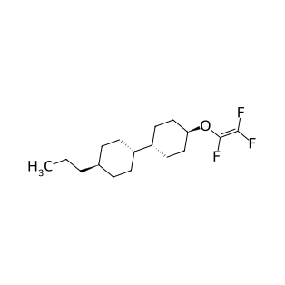 CCC[C@H]1CC[C@H]([C@H]2CC[C@H](OC(F)=C(F)F)CC2)CC1